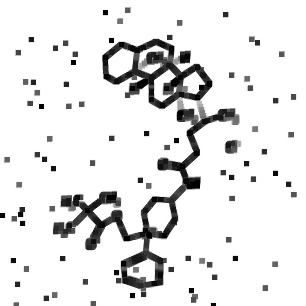 CC(CCC(=O)NC1CC[N+](COC(=O)C(C)(C)C)(c2ccccc2)CC1)[C@H]1CC[C@H]2[C@@H]3CCC4CCCC[C@]4(C)[C@H]3CC[C@]12C.[Cl-]